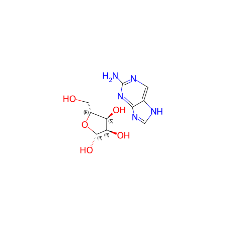 Nc1ncc2[nH]cnc2n1.OC[C@H]1O[C@@H](O)[C@H](O)[C@@H]1O